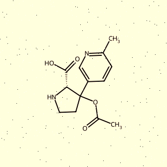 CC(=O)OC1(c2ccc(C)nc2)CCN[C@@H]1C(=O)O